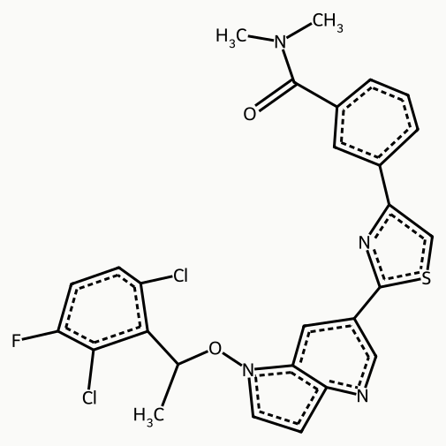 CC(On1ccc2ncc(-c3nc(-c4cccc(C(=O)N(C)C)c4)cs3)cc21)c1c(Cl)ccc(F)c1Cl